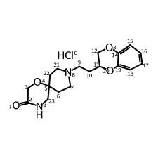 Cl.O=C1COC2(CCN(CCC3COc4ccccc4O3)CC2)CN1